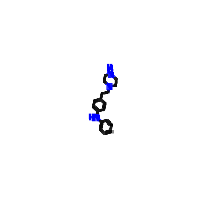 [c]1ccc(Nc2ccc(CCN3CCNCC3)cc2)cc1